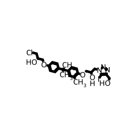 Cc1cc(C(C)(C)c2ccc(OCC(O)CCl)cc2)ccc1OCC(O)Cn1nnc(CO)c1I